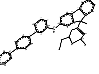 CCC1CC(C2(C)c3ccccc3-c3ccc(Nc4cccc(-c5ccc(-c6ccccc6)cc5)c4)cc32)=CC(C)C1